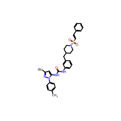 Cc1ccc(-n2nc(C(C)(C)C)cc2NC(=O)Nc2cccc(CC3CCN(S(=O)(=O)C=Cc4ccccc4)CC3)c2)cc1